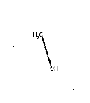 [CH2]CCCCCCCCCCCCCCCCCCCCCCCCCCCCCCCCCCCCO